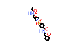 C=CC(=O)Nc1cc2c(o1)CN(S(=O)(=O)c1ccc(C(=O)NCCc3ccccc3OC)cc1)C2